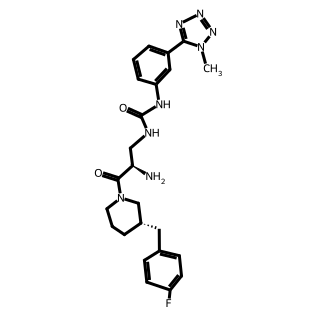 Cn1nnnc1-c1cccc(NC(=O)NC[C@@H](N)C(=O)N2CCC[C@@H](Cc3ccc(F)cc3)C2)c1